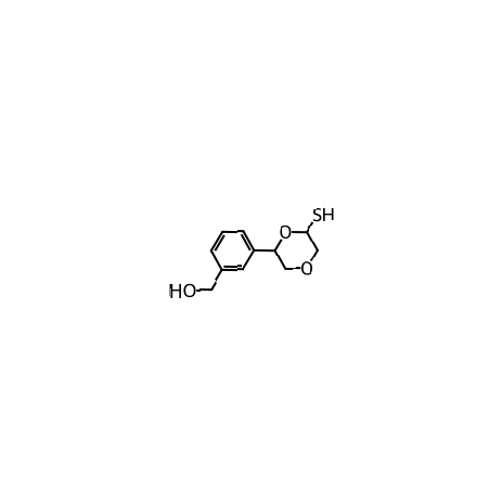 OCc1cccc(C2COCC(S)O2)c1